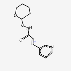 O=C(/C=C/c1cccnc1)NOC1CCCCO1